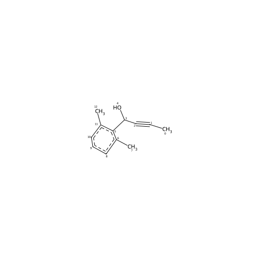 CC#CC(O)c1c(C)cccc1C